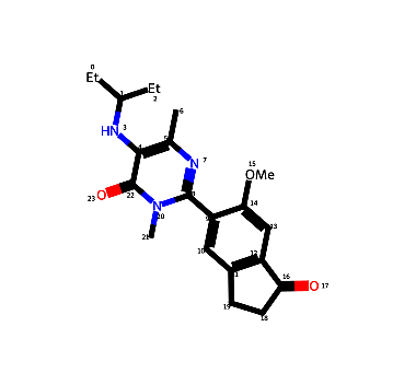 CCC(CC)Nc1c(C)nc(-c2cc3c(cc2OC)C(=O)CC3)n(C)c1=O